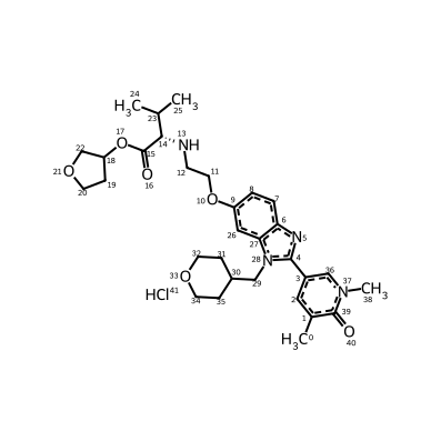 Cc1cc(-c2nc3ccc(OCCN[C@H](C(=O)OC4CCOC4)C(C)C)cc3n2CC2CCOCC2)cn(C)c1=O.Cl